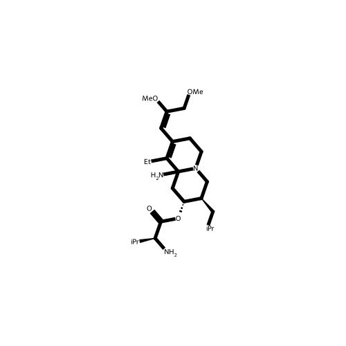 CCC1=C(/C=C(\COC)OC)CCN2C[C@@H](CC(C)C)[C@H](OC(=O)[C@@H](N)C(C)C)CC12N